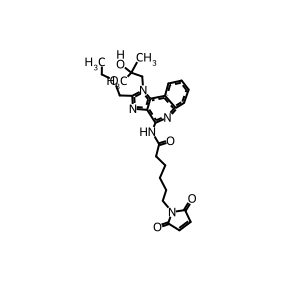 CCOCc1nc2c(NC(=O)CCCCCN3C(=O)C=CC3=O)nc3ccccc3c2n1CC(C)(C)O